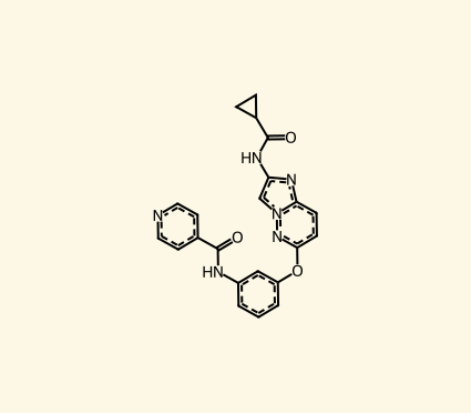 O=C(Nc1cccc(Oc2ccc3nc(NC(=O)C4CC4)cn3n2)c1)c1ccncc1